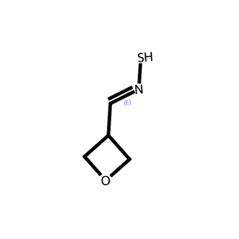 S/N=C/C1COC1